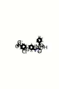 O=C(O)/C(=C/c1cccc(Oc2ccc([N+](=O)[O-])cc2Cl)c1)NC(=O)c1ccccc1